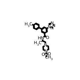 Cc1ccc(-c2cc(C(=O)N[C@H](C)CN3CCN(S(C)(=O)=O)CC3)cc(-n3cnnn3)c2)cc1